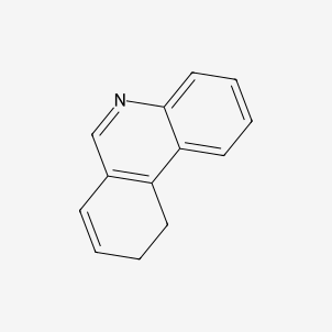 C1=Cc2cnc3ccccc3c2CC1